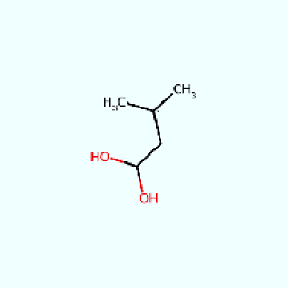 C[C](C)CC(O)O